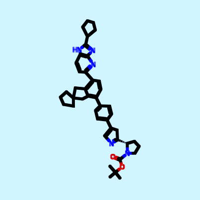 CC(C)(C)OC(=O)N1CCC[C@H]1C1=NC=C(c2ccc(-c3ccc(-c4ccc5[nH]c(C6CCCC6)nc5n4)c4c3CC3(CCCC3)C4)cc2)C1